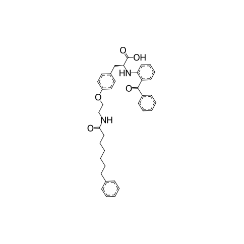 O=C(CCCCCCc1ccccc1)NCCOc1ccc(C[C@H](Nc2ccccc2C(=O)c2ccccc2)C(=O)O)cc1